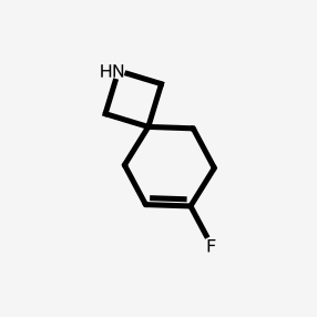 FC1=CCC2(CC1)CNC2